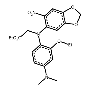 CCOC(=O)CN(c1ccc(N(C)C)cc1OCC)c1cc2c(cc1[N+](=O)[O-])OCO2